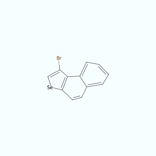 Brc1c[se]c2ccc3ccccc3c12